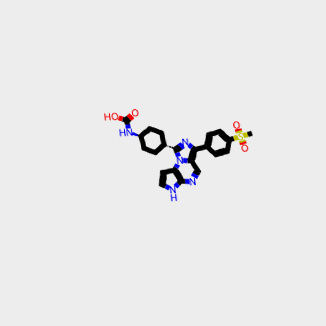 CS(=O)(=O)c1ccc(-c2nc([C@H]3CC[C@H](NC(=O)O)CC3)n3c2cnc2[nH]ccc23)cc1